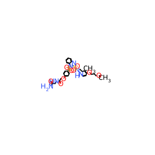 COCCCOc1ccnc(CNS(=O)(=O)c2nc3ccccc3n2S(=O)(=O)c2ccc(OCC(=O)NCC(N)=O)cc2)c1C